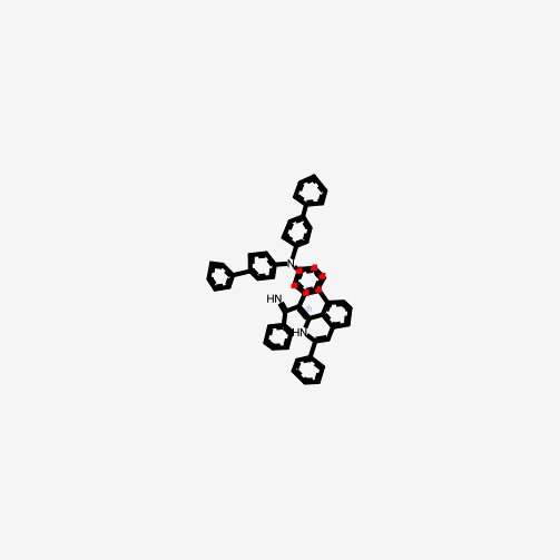 N=C(/C(=C1\NC(c2ccccc2)=Cc2cccc(-c3ccc(N(c4ccc(-c5ccccc5)cc4)c4ccc(-c5ccccc5)cc4)cc3)c21)c1ccccc1)c1ccccc1